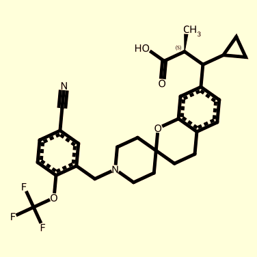 C[C@H](C(=O)O)C(c1ccc2c(c1)OC1(CC2)CCN(Cc2cc(C#N)ccc2OC(F)(F)F)CC1)C1CC1